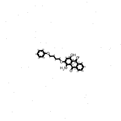 Nc1c(OCCCCOc2ccccc2)cc(O)c2c1C(=O)c1ccccc1C2=O